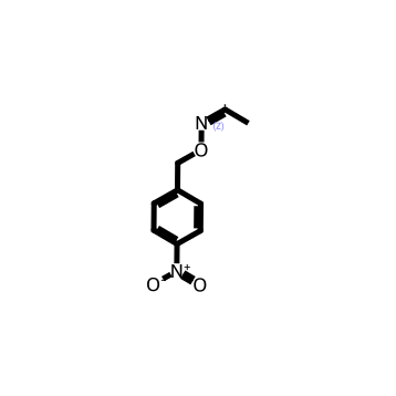 C/[C]=N\OCc1ccc([N+](=O)[O-])cc1